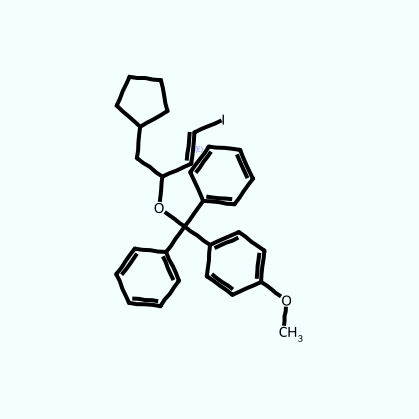 COc1ccc(C(OC(/C=C/I)CC2CCCC2)(c2ccccc2)c2ccccc2)cc1